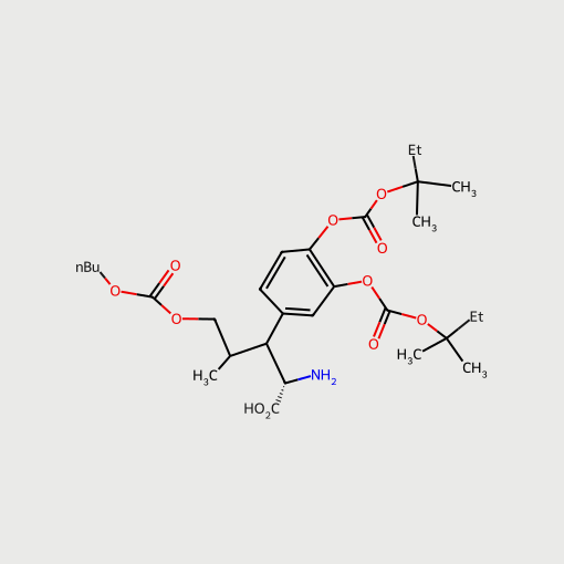 CCCCOC(=O)OCC(C)C(c1ccc(OC(=O)OC(C)(C)CC)c(OC(=O)OC(C)(C)CC)c1)[C@H](N)C(=O)O